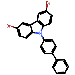 Brc1ccc2c(c1)c1cc(Br)ccc1n2-c1ccc(-c2ccccc2)cc1